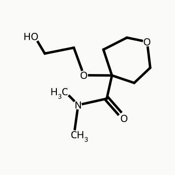 CN(C)C(=O)C1(OCCO)CCOCC1